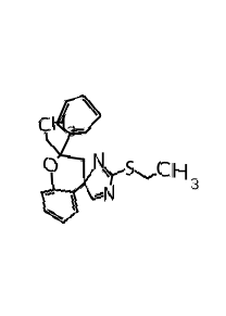 CCSC1=NC2(C=N1)CC(CC)(c1ccccc1)Oc1ccccc12